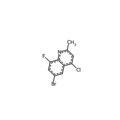 Cc1cc(Cl)c2cc(Br)cc(F)c2n1